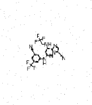 N#Cc1cc(Nc2cc(NCC(F)(F)F)c3ncc(C#N)n3n2)cc(C(F)(F)F)c1